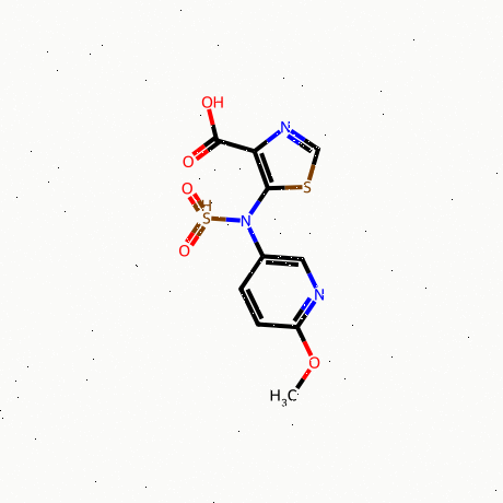 COc1ccc(N(c2scnc2C(=O)O)[SH](=O)=O)cn1